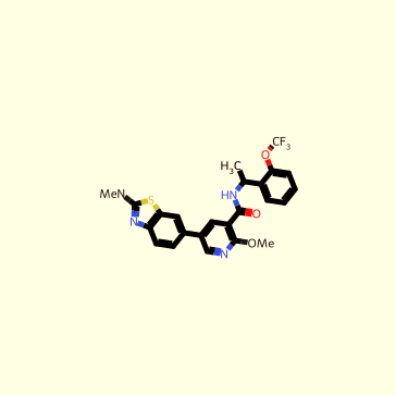 CNc1nc2ccc(-c3cnc(OC)c(C(=O)NC(C)c4ccccc4OC(F)(F)F)c3)cc2s1